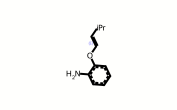 CC(C)/C=C/Oc1ccccc1N